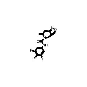 CC1Cc2nocc2CN1C(=O)Nc1cc(F)c(F)c(F)c1